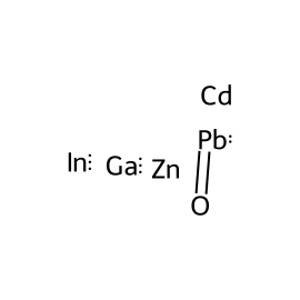 [Cd].[Ga].[In].[O]=[Pb].[Zn]